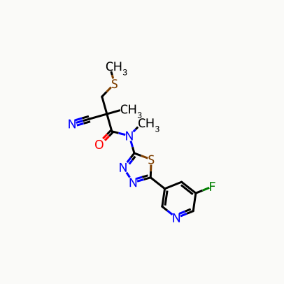 CSCC(C)(C#N)C(=O)N(C)c1nnc(-c2cncc(F)c2)s1